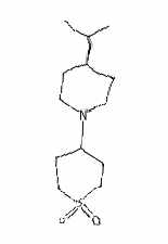 CC(C)C1CCN(C2CCS(=O)(=O)CC2)CC1